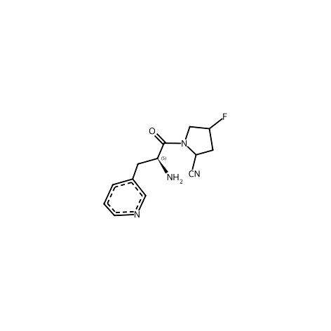 N#CC1CC(F)CN1C(=O)[C@@H](N)Cc1cccnc1